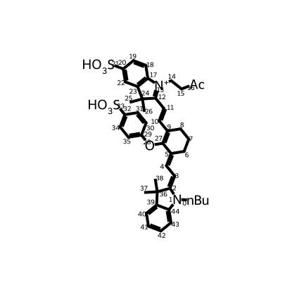 CCCCN1/C(=C/C=C2\CCCC(/C=C/C3=[N+](CCC(C)=O)c4ccc(S(=O)(=O)O)cc4C3(C)C)=C2Oc2ccc(S(=O)(=O)O)cc2)C(C)(C)c2ccccc21